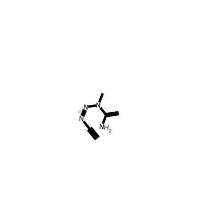 C#C/N=N\N(C)C(=C)N